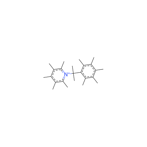 Cc1c(C)c(C)c(C(C)(C)[n+]2c(C)c(C)c(C)c(C)c2C)c(C)c1C